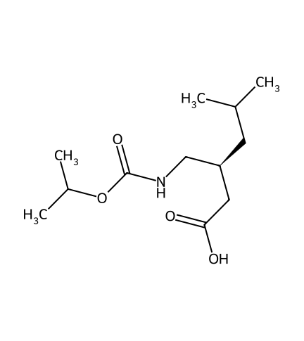 CC(C)C[C@H](CNC(=O)OC(C)C)CC(=O)O